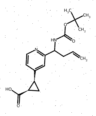 C=CCC(NC(=O)OC(C)(C)C)c1cc([C@H]2C[C@H]2C(=O)O)ccn1